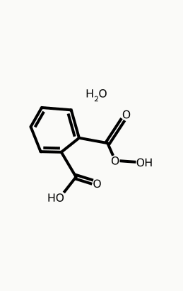 O.O=C(O)c1ccccc1C(=O)OO